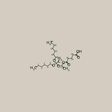 CCCCCCOC(C)(OCCCCCC)OC(C)OC(=O)CCCC(=O)O